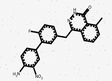 Cc1cccc2c(Cc3ccc(F)c(-c4ccc(N)c([N+](=O)[O-])c4)c3)n[nH]c(=O)c12